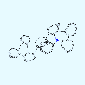 c1ccc(N2c3ccccc3-c3ccccc3-c3cccc(-c4ccc(-c5cccc6c7ccccc7c7ccccc7c56)cc4)c32)cc1